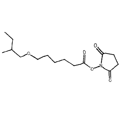 CCC(C)COCCCCCC(=O)ON1C(=O)CCC1=O